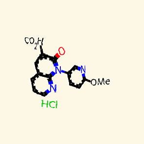 COc1ccc(-n2c(=O)c(C(=O)O)cc3cccnc32)cn1.Cl